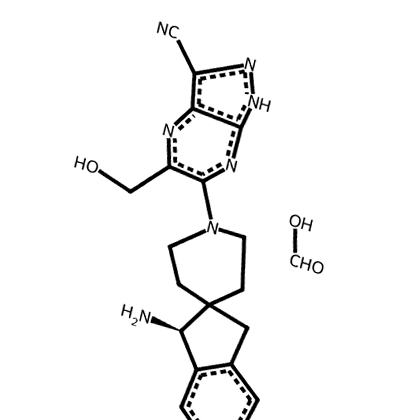 N#Cc1n[nH]c2nc(N3CCC4(CC3)Cc3ccccc3[C@H]4N)c(CO)nc12.O=CO